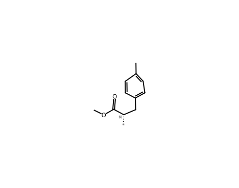 COC(=O)[C@@H](C)Cc1ccc(C)cc1